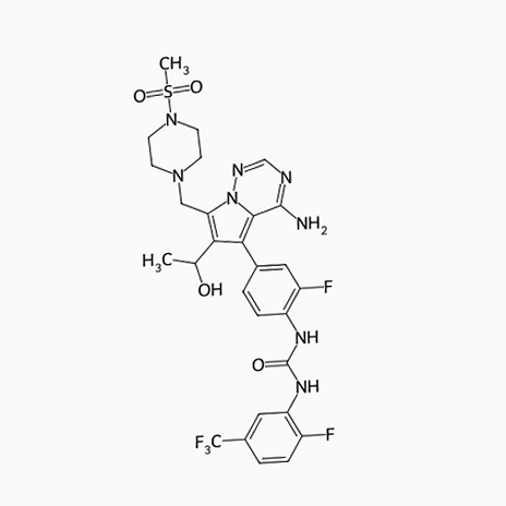 CC(O)c1c(-c2ccc(NC(=O)Nc3cc(C(F)(F)F)ccc3F)c(F)c2)c2c(N)ncnn2c1CN1CCN(S(C)(=O)=O)CC1